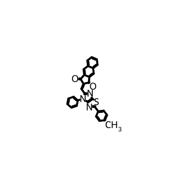 Cc1ccc(-c2nc3c(nc(C=C4C(=O)c5cc6ccccc6cc5C4=O)n3-c3ccccc3)s2)cc1